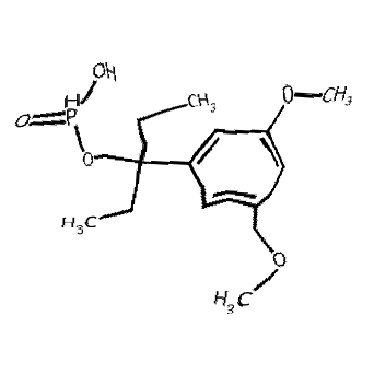 CCC(CC)(O[PH](=O)O)c1cc(OC)cc(OC)c1